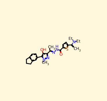 C=C(c1ccc(C(=O)N/N=C(\C)c2nn(C)c(-c3ccc4c(c3)CCC4)c2O)s1)N(CC)CC